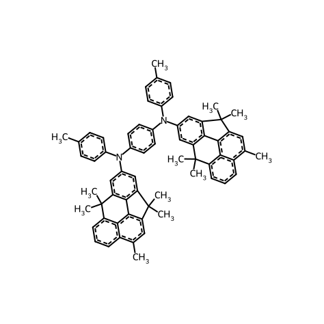 Cc1ccc(N(c2ccc(N(c3ccc(C)cc3)c3cc4c5c(c3)C(C)(C)c3cccc6c(C)cc(c-5c36)C4(C)C)cc2)c2cc3c4c(c2)C(C)(C)c2cccc5c(C)cc(c-4c25)C3(C)C)cc1